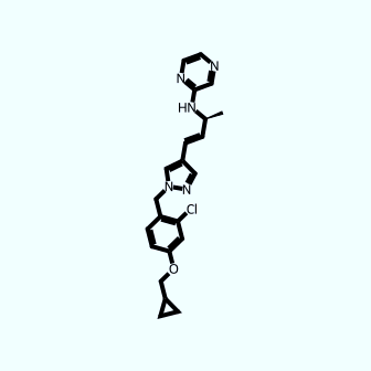 C[C@@H](/C=C/c1cnn(Cc2ccc(OCC3CC3)cc2Cl)c1)Nc1cnccn1